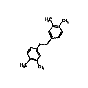 Cc1ccc(CCc2ccc(C)c(C)c2)cc1C